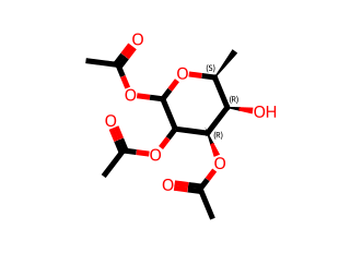 CC(=O)OC1O[C@@H](C)[C@@H](O)[C@@H](OC(C)=O)C1OC(C)=O